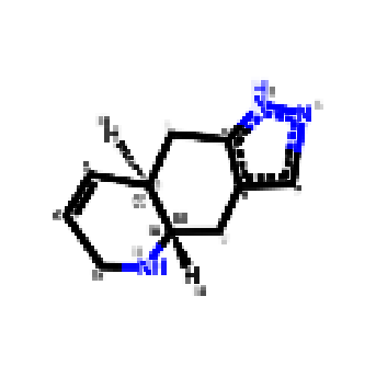 C1=C[C@H]2Cc3[nH]ncc3C[C@@H]2NC1